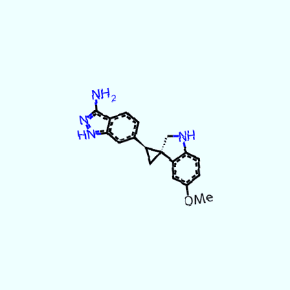 COc1ccc2c(c1)[C@@]1(CN2)C[C@H]1c1ccc2c(N)n[nH]c2c1